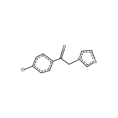 O=C(C[n+]1ccsc1)c1ccc(Cl)cc1